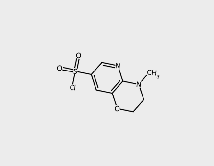 CN1CCOc2cc(S(=O)(=O)Cl)cnc21